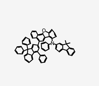 CC1(C)c2ccccc2-c2ccc(N(c3ccccc3)c3cccc4oc5c6ccccc6c(-c6cc(-c7ccccc7)c7c(c6)C(c6ccccc6)(c6ccccc6)c6ccccc6-7)cc5c34)cc21